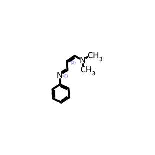 CN(C)/C=C\C=N\c1ccccc1